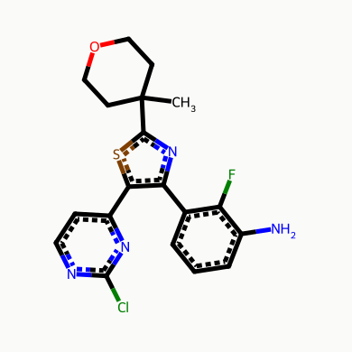 CC1(c2nc(-c3cccc(N)c3F)c(-c3ccnc(Cl)n3)s2)CCOCC1